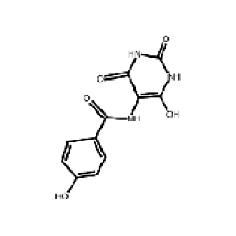 O=C(Nc1c(O)[nH]c(=O)[nH]c1=O)c1ccc(O)cc1